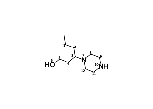 CCCC(CCO)N1CCNCC1